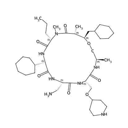 CCC[C@H]1C(=O)N[C@@H](C2CCCCCC2)C(=O)N[C@@H](CN)C(=O)N[C@@H](COC2CCNCC2)C(=O)N[C@H](C)CO[C@H](CC2CCCCC2)[C@@H](C)C(=O)N1C